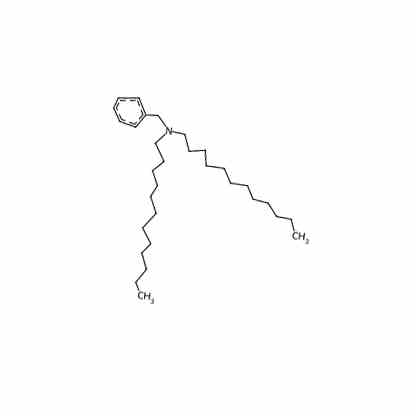 CCCCCCCCCCCCN(CCCCCCCCCCCC)Cc1ccccc1